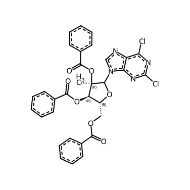 C[C@]1(OC(=O)c2ccccc2)C(n2cnc3c(Cl)nc(Cl)nc32)O[C@H](COC(=O)c2ccccc2)[C@H]1OC(=O)c1ccccc1